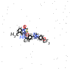 Cc1cccc(N2C(=O)CS/C2=N\C(=O)NC(C#N)c2ccc(-c3ncn(-c4ccc(OC(F)(F)F)cc4)n3)cc2)c1C(C)C